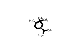 CC(C)N1CC[C@H](C)C(C)(C)C1